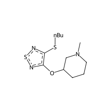 CCCCSc1nsnc1OC1CCCN(C)C1